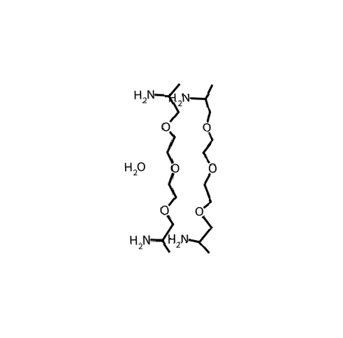 CC(N)COCCOCCOCC(C)N.CC(N)COCCOCCOCC(C)N.O